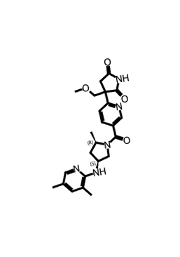 COCC1(c2ccc(C(=O)N3C[C@@H](Nc4ncc(C)cc4C)C[C@H]3C)cn2)CC(=O)NC1=O